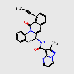 CC#Cc1cccc2cc(C(C)NC(=O)c3c(C)nn4cccnc34)n(-c3ccccc3)c(=O)c12